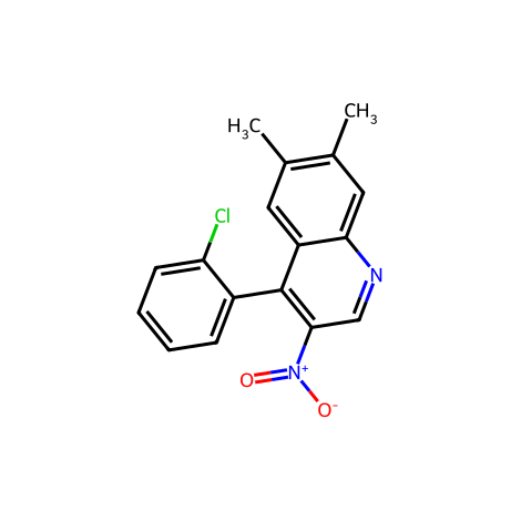 Cc1cc2ncc([N+](=O)[O-])c(-c3ccccc3Cl)c2cc1C